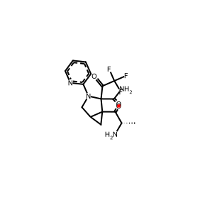 C[C@H](N)C(=O)C12CC1CN(c1ccccn1)C2(C(N)=O)C(=O)C(F)(F)F